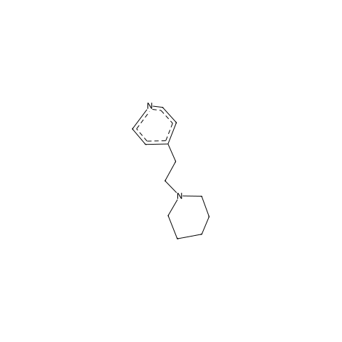 c1cc(CCN2CCCCC2)ccn1